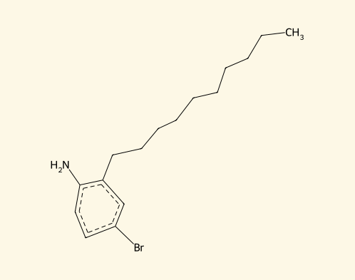 CCCCCCCCCCc1cc(Br)ccc1N